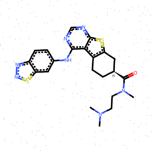 CN(C)CCN(C)C(=O)[C@H]1CCc2c(sc3ncnc(Nc4ccc5nnsc5c4)c23)C1